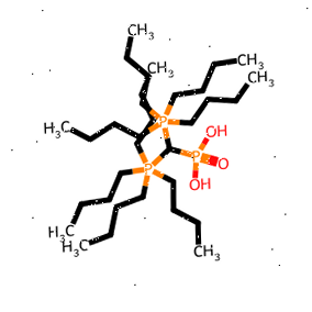 CCCCP(CCCC)(CCCC)(CCCC)C(P(=O)(O)O)P(CCCC)(CCCC)(CCCC)CCCC